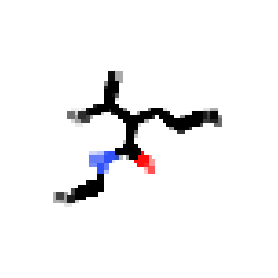 C=CCC(C(=C)C)C(=O)NC=C